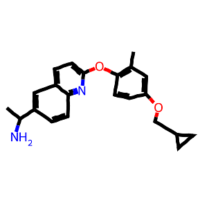 Cc1cc(OCC2CC2)ccc1Oc1ccc2cc(C(C)N)ccc2n1